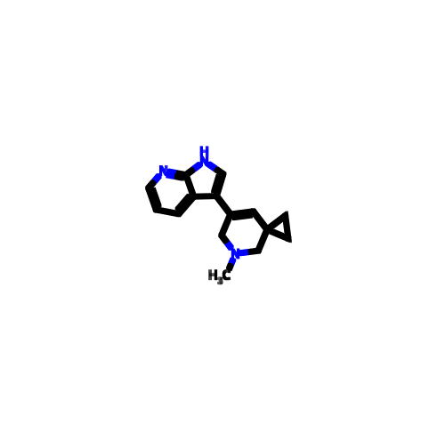 CN1CC(c2c[nH]c3ncccc23)=CC2(CC2)C1